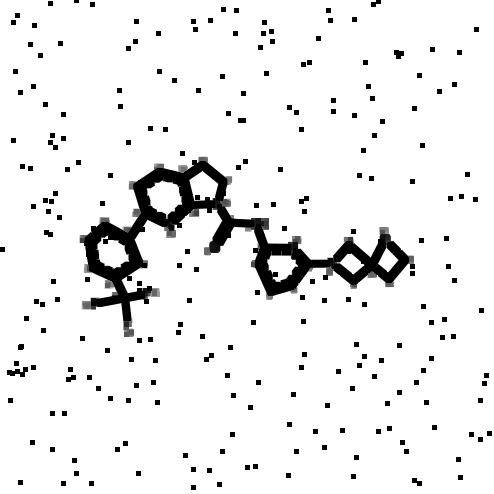 O=C(Nc1cccc(N2CC3(CCO3)C2)n1)N1CCc2ccc(-c3cccc(C(F)(F)F)c3)nc21